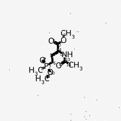 COC(=O)C(=CCP(C)(=O)OC)NC(C)=O